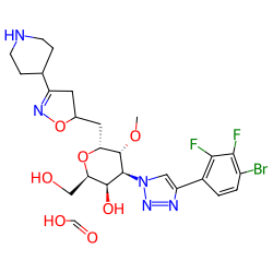 CO[C@@H]1[C@@H](n2cc(-c3ccc(Br)c(F)c3F)nn2)[C@@H](O)[C@@H](CO)O[C@@H]1CC1CC(C2CCNCC2)=NO1.O=CO